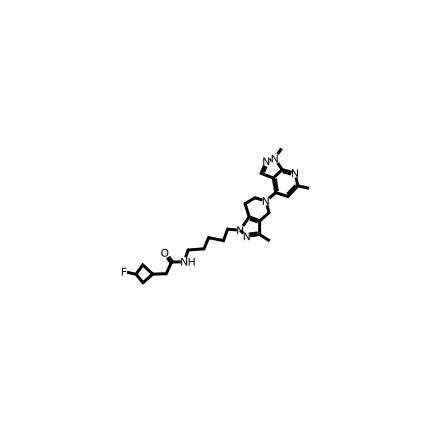 Cc1cc(N2CCc3c(c(C)nn3CCCCCNC(=O)CC3CC(F)C3)C2)c2cnn(C)c2n1